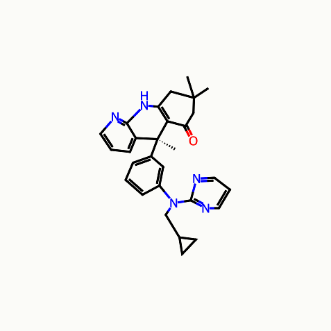 CC1(C)CC(=O)C2=C(C1)Nc1ncccc1[C@]2(C)c1cccc(N(CC2CC2)c2ncccn2)c1